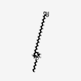 CCCCCCCCON1C(C)(C)CC(CCCCCCCCCCCCCCCCCCCCCC(=O)O)CC1(C)C